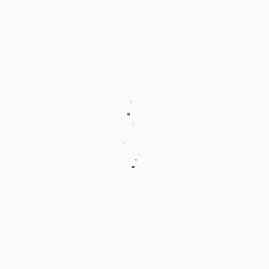 N[C@H](CCNCC=O)C(=O)O